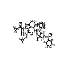 O=C(NCC1CC1)c1c(NC(=O)C2CC2)sc2c1C[C@@H](n1cnnc1N[C@H]1CN(C(=O)c3ccccc3)CC1(F)F)CC2